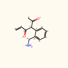 C=CC(=O)C(C(C)=O)c1ccccc1CN